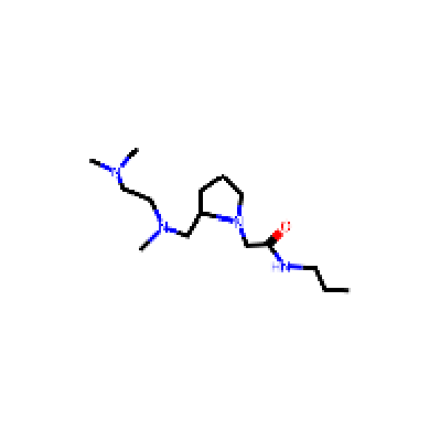 CCCNC(=O)CN1CCCC1CN(C)CCN(C)C